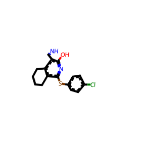 N=Cc1c(O)nc(Sc2ccc(Cl)cc2)c2c1CCCC2